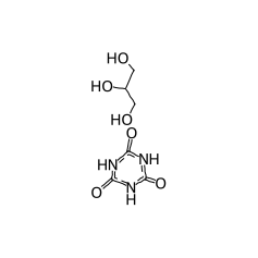 O=c1[nH]c(=O)[nH]c(=O)[nH]1.OCC(O)CO